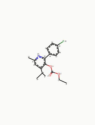 CCOC(=O)Oc1c(C(C)C)cc(C)nc1-c1ccc(F)cc1